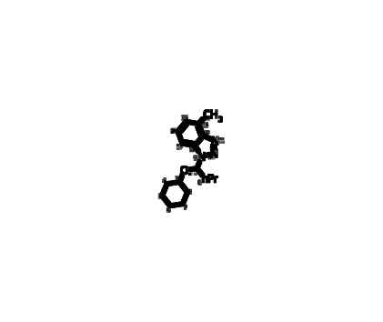 CCCC(OC1CCCCC1)n1nnc2c(C)cccc21